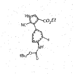 CCOC(=O)c1c[nH]c(C#N)c1-c1ccc(NC(=O)OC(C)(C)C)c(F)c1